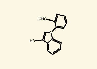 O=Cc1ccccc1-n1cc(O)c2ccccc21